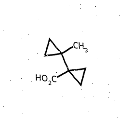 CC1(C2(C(=O)O)CC2)CC1